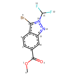 COC(=O)c1ccc2c(Br)n(C(F)F)nc2c1